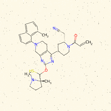 C=CC(=O)N1CCC(c2nc(OC(S)[C@]3(C)CCCN3C)nc3c2CCN(c2cccc4cccc(C)c24)C3)C[C@@H]1CC#N